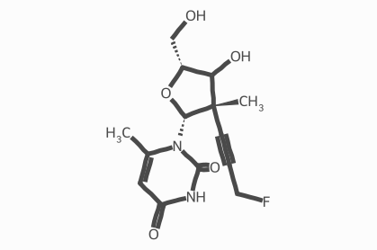 Cc1cc(=O)[nH]c(=O)n1[C@@H]1O[C@H](CO)C(O)[C@]1(C)C#CCF